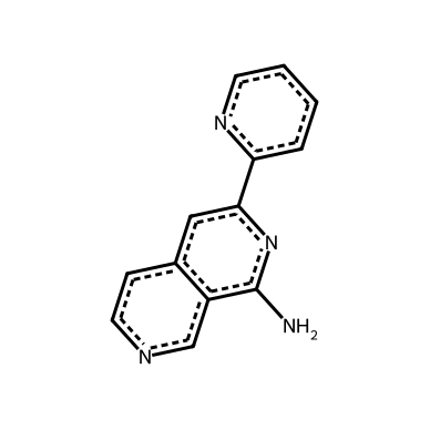 Nc1nc(-c2ccccn2)cc2ccncc12